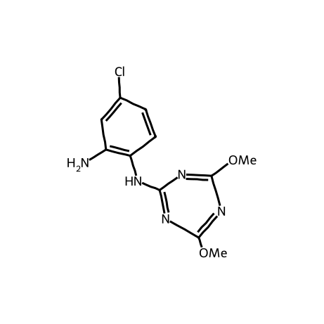 COc1nc(Nc2ccc(Cl)cc2N)nc(OC)n1